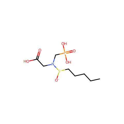 CCCCC[S+]([O-])N(CC(=O)O)CP(=O)(O)O